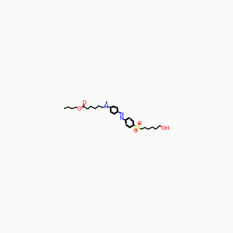 CCCCOC(=O)CCCCCN(C)c1ccc(/N=N/c2ccc(S(=O)(=O)CCCCCCO)cc2)cc1